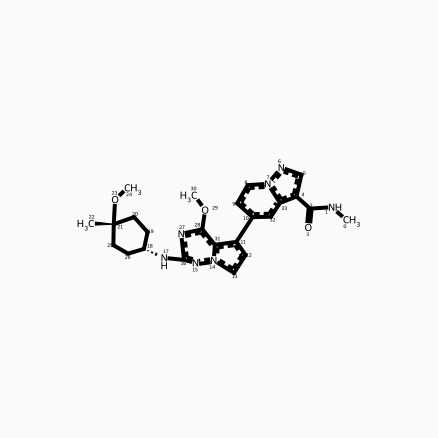 CNC(=O)c1cnn2ccc(-c3ccn4nc(N[C@H]5CC[C@@](C)(OC)CC5)nc(OC)c34)cc12